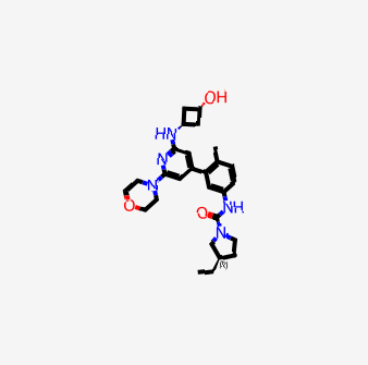 CC[C@@H]1CCN(C(=O)Nc2ccc(C)c(-c3cc(N[C@H]4C[C@@H](O)C4)nc(N4CCOCC4)c3)c2)C1